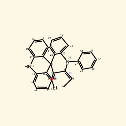 C/C=C1\C(=C/CC)C2(c3ccccc3Nc3ccccc32)c2ccccc2N1c1ccccc1